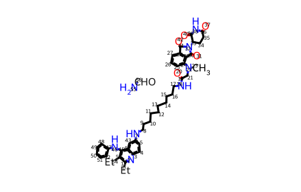 CCc1nc2ccc(NCCCCCCCCCCNC(=O)CN(C)c3cccc4c3C(=O)N(C3CCC(=O)NC3=O)C4=O)cc2c(Nc2ccccc2)c1CC.NC=O